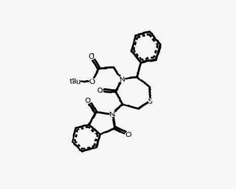 CC(C)(C)OC(=O)CN1C(=O)C(N2C(=O)c3ccccc3C2=O)CSCC1c1ccccc1